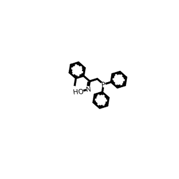 Cc1ccccc1C(CP(c1ccccc1)c1ccccc1)=NO